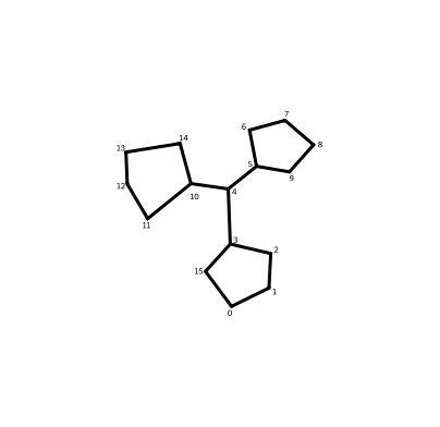 C1CCC(C(C2CCCC2)C2CCCC2)C1